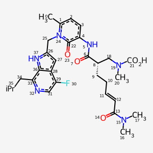 Cc1ccc(NC(=O)[C@@H](CC/C=C/C(=O)N(C)C)CN(C)C(=O)O)c(=O)n1Cc1cc2c(F)cnc(CC(C)C)c2[nH]1